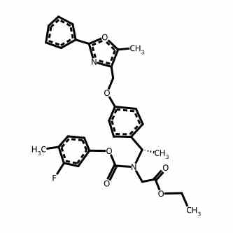 CCOC(=O)CN(C(=O)Oc1ccc(C)c(F)c1)[C@@H](C)c1ccc(OCc2nc(-c3ccccc3)oc2C)cc1